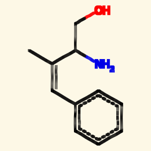 CC(=Cc1ccccc1)C(N)CO